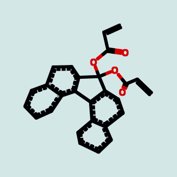 C=CC(=O)OC1(OC(=O)C=C)c2ccc3ccccc3c2-c2c1ccc1ccccc21